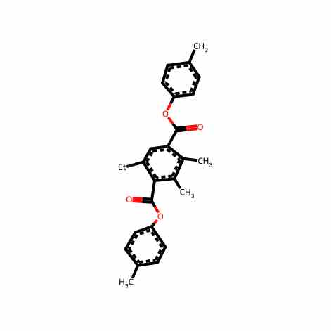 CCc1cc(C(=O)Oc2ccc(C)cc2)c(C)c(C)c1C(=O)Oc1ccc(C)cc1